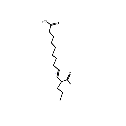 CCCC(/C=C/CCCCCCCC(=O)O)C(C)=O